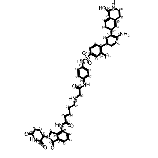 Nc1ncc(-c2ccc(S(=O)(=O)Nc3ccc(NC(=O)CNCCCCC(=O)Nc4cccc5c4CN(C4CCC(=O)NC4=O)C5=O)cc3)cc2F)cc1C1C=C2CCNC(O)C2=CC1